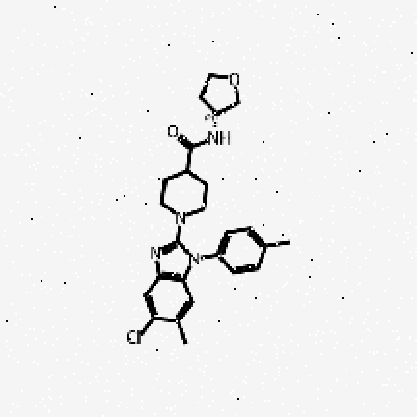 Cc1ccc(-n2c(N3CCC(C(=O)N[C@@H]4CCOC4)CC3)nc3cc(Cl)c(C)cc32)cc1